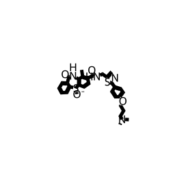 Cc1c(C(=O)NCc2cnc(-c3ccc(OCCCN(C)C)cc3)s2)ccc2c1NC(=O)c1ccccc1[S+]2[O-]